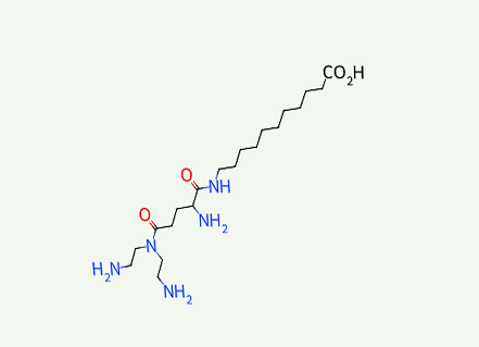 NCCN(CCN)C(=O)CCC(N)C(=O)NCCCCCCCCCCC(=O)O